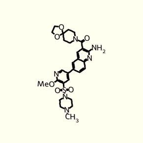 COc1ncc(-c2ccc3nc(N)c(C(=O)N4CCC5(CC4)OCCO5)cc3c2)cc1S(=O)(=O)N1CCN(C)CC1